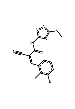 CCc1nnc(NC(=O)C(C#N)=Cc2cccc(F)c2C)s1